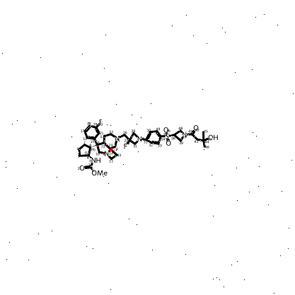 COC(=O)N[C@H]1CCC[C@@H]1C(CN1CCC1)(c1cccc(F)c1)C1CCN(CC2(F)CN(c3ccc(S(=O)(=O)C4CN(C(=O)CC(C)(C)O)C4)cc3)C2)CC1